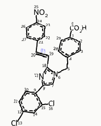 O=C(O)c1ccc(Cn2cc(-c3ccc(Cl)cc3Cl)nc2/C=C/c2ccc([N+](=O)[O-])cc2)cc1